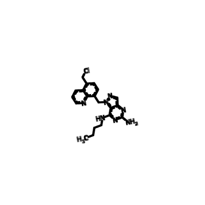 CCCCNc1nc(N)nc2cnn(Cc3ccc(CCl)c4cccnc34)c12